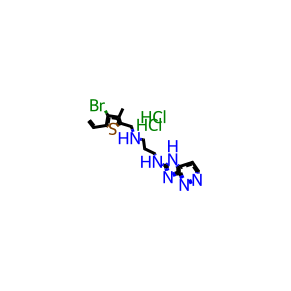 C=Cc1sc(CNCCCNc2nc3nnccc3[nH]2)c(C)c1Br.Cl.Cl